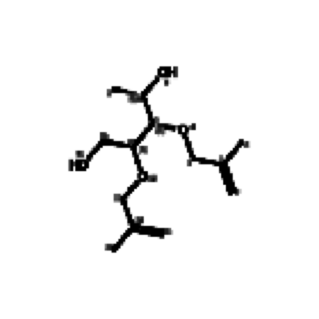 C=C(C)CO[C@@H]([C@H](C)O)[C@H](CO)OCC(=C)C